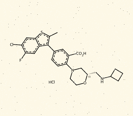 Cc1sc2cc(Cl)c(F)cc2c1-c1ccc(N2CCO[C@@H](CNC3CCC3)C2)c(C(=O)O)c1.Cl